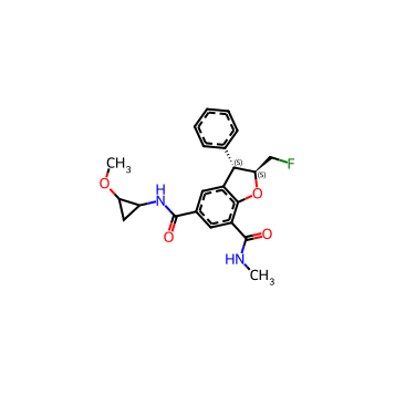 CNC(=O)c1cc(C(=O)NC2CC2OC)cc2c1O[C@H](CF)[C@H]2c1ccccc1